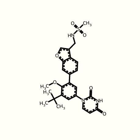 COc1c(-c2ccc3c(CNS(C)(=O)=O)coc3c2)cc(-n2ccc(=O)[nH]c2=O)cc1C(C)(C)C